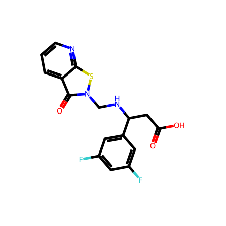 O=C(O)CC(NCn1sc2ncccc2c1=O)c1cc(F)cc(F)c1